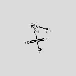 NC(=O)O.O=S(=O)(O)O.[Cu]